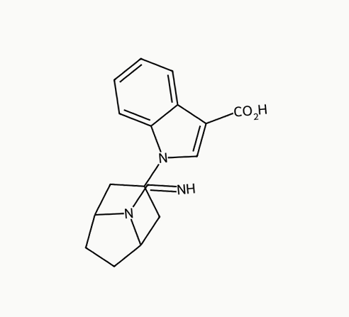 N=CN1C2CCC1CC(n1cc(C(=O)O)c3ccccc31)C2